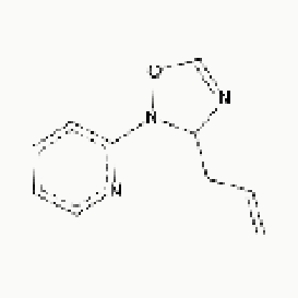 C=CCC1N=CON1c1ccccn1